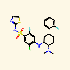 CN(C)[C@H]1CC[C@@H](c2ccccc2F)C[C@@H]1Nc1cc(F)c(S(=O)(=O)Nc2nccs2)cc1Cl